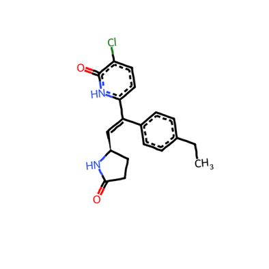 CCc1ccc(/C(=C\[C@H]2CCC(=O)N2)c2ccc(Cl)c(=O)[nH]2)cc1